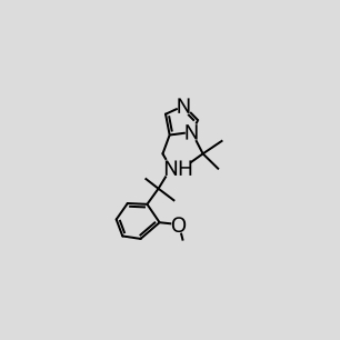 COc1ccccc1C(C)(C)NCc1cncn1C(C)(C)C